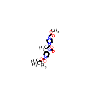 COC(=O)CN1CCN(C2OC(=O)N(C3CCN(C(=O)OC(C)(C)C)CC3)C2C)CC1